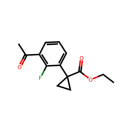 CCOC(=O)C1(c2cccc(C(C)=O)c2F)CC1